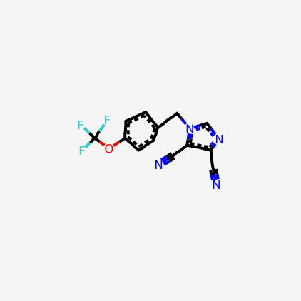 N#Cc1ncn(Cc2ccc(OC(F)(F)F)cc2)c1C#N